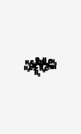 CC(C)(C)C(=O)NNS(C)(C)S